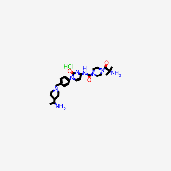 CC(N)C1CCN(Cc2ccc(-n3ccc(NC(=O)N4CCN(C(=O)C(C)(C)N)CC4)nc3=O)cc2)CC1.Cl